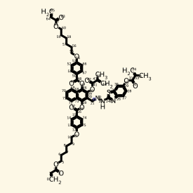 C=CC(=O)OCCCCCCOc1ccc(C(=O)Oc2c(/C=N/Nc3nc4ccc(OC(=O)C(=C)C)cc4s3)c(OC(=O)C(=C)C)c(OC(=O)c3ccc(OCCCCCCOC(=O)C=C)cc3)c3ccccc23)cc1